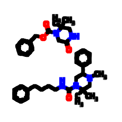 CC1(C)CNC(=O)CN1C(=O)OCc1ccccc1.CN1CC(C)(C)N(C(=O)NCCCCc2ccccc2)CC1c1ccccc1